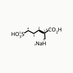 C/C(=C\CCS(=O)(=O)O)C(=O)O.[NaH]